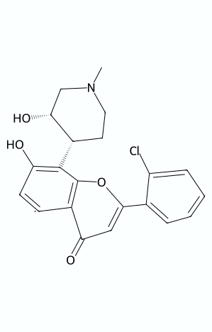 CN1CC[C@H](c2c(O)c[c]c3c(=O)cc(-c4ccccc4Cl)oc23)[C@H](O)C1